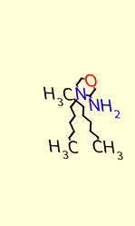 CCCCCCC(C)(CCCCCC)N1CCOCC1N